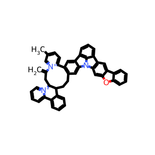 C=C1CC2C(CCc3cc4c(cc3-c3ccc(C)c[n+]31)c1cccc3c5cc6c(cc5n4c13)oc1ccccc16)c1ccccc1-c1cccc[n+]12